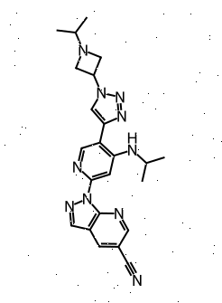 CC(C)Nc1cc(-n2ncc3cc(C#N)cnc32)ncc1-c1cn(C2CN(C(C)C)C2)nn1